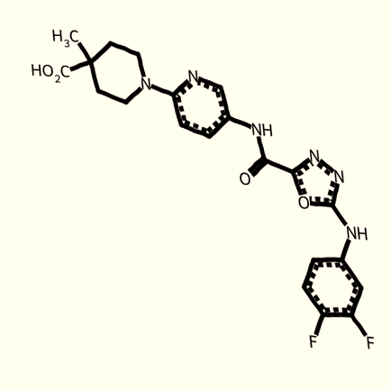 CC1(C(=O)O)CCN(c2ccc(NC(=O)c3nnc(Nc4ccc(F)c(F)c4)o3)cn2)CC1